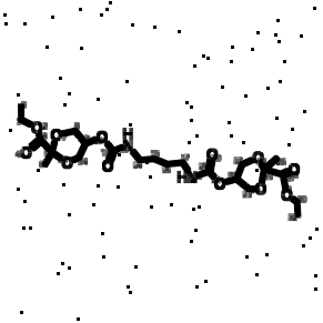 CCOC(=O)C1(C)OCC(OC(=O)NCCCCNC(=O)OC2COC(C)(C(=O)OCC)OC2)CO1